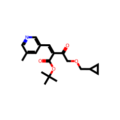 Cc1cncc(C=C(C(=O)COCC2CC2)C(=O)OC(C)(C)C)c1